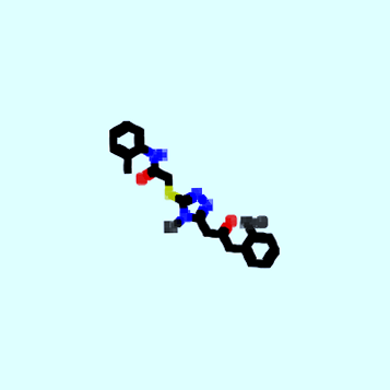 CCn1c(CC(=O)Cc2ccccc2OC)nnc1SCC(=O)Nc1ccccc1C